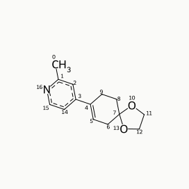 Cc1cc(C2=CCC3(CC2)OCCO3)ccn1